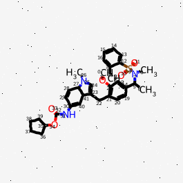 COc1cc(C(C)N(C)S(=O)(=O)c2ccccc2C)ccc1CC1=CN(C)C2C=CC(NC(=O)OC3CCCC3)=CC12